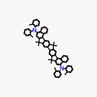 Cc1ccccc1N(c1ccccc1C)c1cc2c(c3ccccc13)-c1cc3c(cc1C2(C)C)-c1cc2c(cc1C3(C)C)-c1c(cc(N(c3ccccc3C)c3ccccc3C)c3ccccc13)C2(C)C